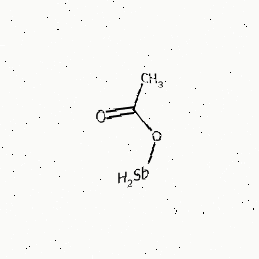 CC(=O)[O][SbH2]